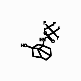 O=S(=O)(NC12CC3CC(CC(O)(C3)C1)C2)C(F)(F)C(F)(F)F